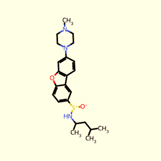 CC(C)CC(C)N[S+]([O-])c1ccc2oc3cc(N4CCN(C)CC4)ccc3c2c1